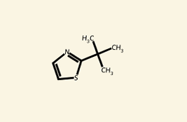 CC(C)(C)c1nccs1